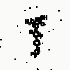 CS(=O)(=O)[C@H](CCn1cc(F)c(-c2ccc(OCC(F)(F)F)cc2)cc1=O)C(=O)NO